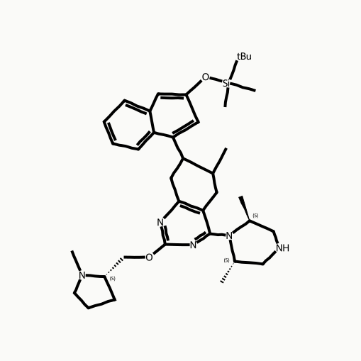 CC1Cc2c(nc(OC[C@@H]3CCCN3C)nc2N2[C@@H](C)CNC[C@@H]2C)CC1c1cc(O[Si](C)(C)C(C)(C)C)cc2ccccc12